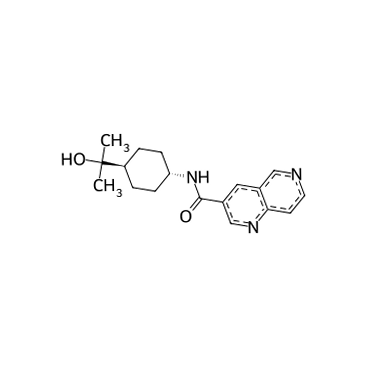 CC(C)(O)[C@H]1CC[C@H](NC(=O)c2cnc3ccncc3c2)CC1